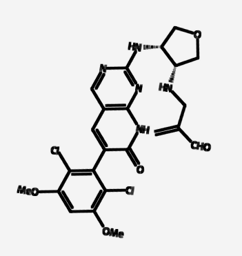 C=C(C=O)CN[C@H]1COC[C@H]1Nc1ncc2cc(-c3c(Cl)c(OC)cc(OC)c3Cl)c(=O)[nH]c2n1